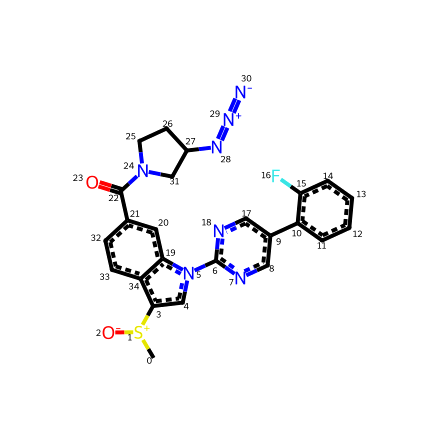 C[S+]([O-])c1cn(-c2ncc(-c3ccccc3F)cn2)c2cc(C(=O)N3CCC(N=[N+]=[N-])C3)ccc12